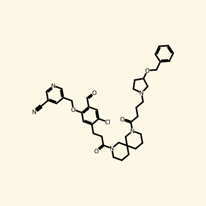 N#Cc1cncc(COc2cc(CCC(=O)N3CCCC4(CCCN(C(=O)CCCN5CCC(OCc6ccccc6)C5)C4)C3)c(Cl)cc2C=O)c1